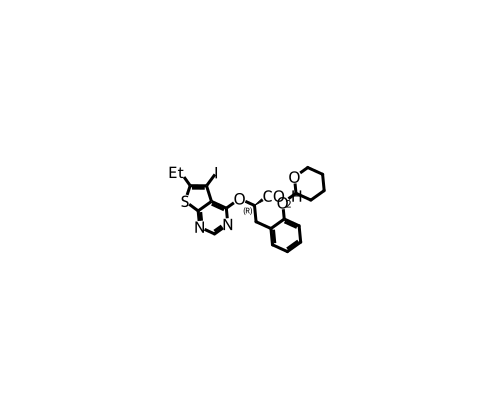 CCc1sc2ncnc(O[C@H](Cc3ccccc3OC3CCCCO3)C(=O)O)c2c1I